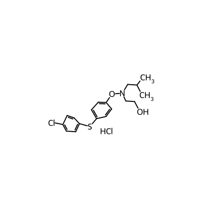 CC(C)CN(CCO)Oc1ccc(Sc2ccc(Cl)cc2)cc1.Cl